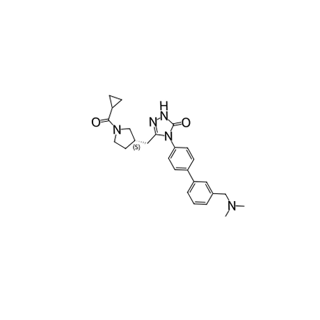 CN(C)Cc1cccc(-c2ccc(-n3c(C[C@@H]4CCN(C(=O)C5CC5)C4)n[nH]c3=O)cc2)c1